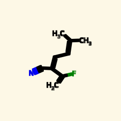 C=C(F)/C(C#N)=C\C=C(C)C